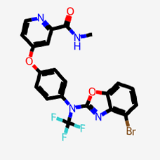 CNC(=O)c1cc(Oc2ccc(N(c3nc4c(Br)cccc4o3)C(F)(F)F)cc2)ccn1